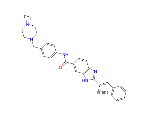 CCCCC/C(=C\c1ccccc1)c1nc2ccc(C(=O)Nc3ccc(CN4CCN(C)CC4)cc3)cc2[nH]1